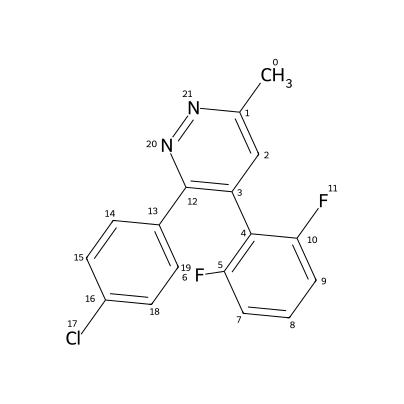 Cc1cc(-c2c(F)cccc2F)c(-c2ccc(Cl)cc2)nn1